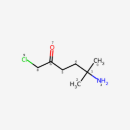 CC(C)(N)CCC(=O)CCl